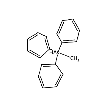 C[AsH](c1ccccc1)(c1ccccc1)c1ccccc1